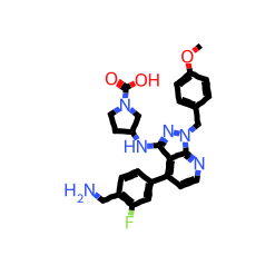 COc1ccc(Cn2nc(NC3CCN(C(=O)O)C3)c3c(-c4ccc(CN)c(F)c4)ccnc32)cc1